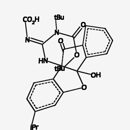 CC(C)c1ccc2c(c1)OC1(O)c3ccccc3C(=O)C21NC(=NC(=O)O)N(C(=O)OC(C)(C)C)C(C)(C)C